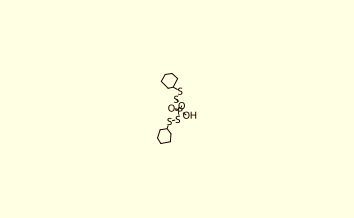 O=P(O)(OSSC1CCCCC1)SSC1CCCCC1